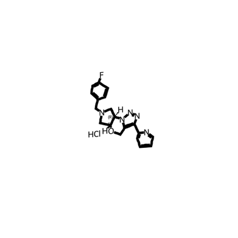 Cl.Fc1ccc(CN2C[C@@H]3[C@@H](C2)OCc2c(-c4ccccn4)nnn23)cc1